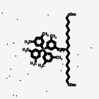 CCCCCCCCCCCCCCCCCCC([NH3+])CCCCCCCCCCCCCCCCCC.Cc1cc(C)cc([B-](c2cc(C)cc(C)c2)(c2cc(C)cc(C)c2)c2cc(C)cc(C)c2)c1